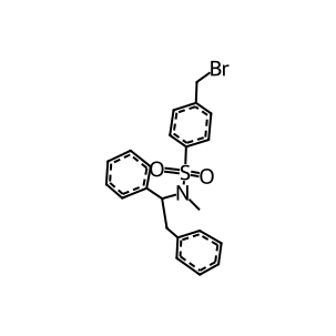 CN(C(Cc1ccccc1)c1ccccc1)S(=O)(=O)c1ccc(CBr)cc1